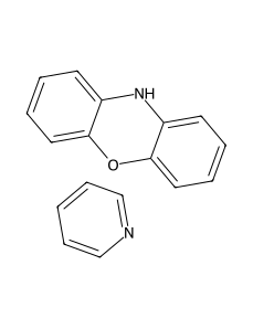 c1ccc2c(c1)Nc1ccccc1O2.c1ccncc1